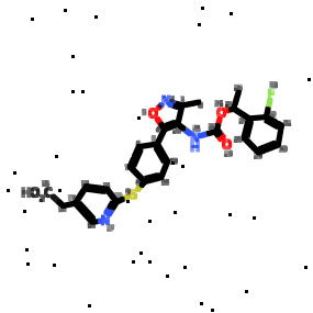 Cc1noc(-c2ccc(Sc3ccc(CC(=O)O)cn3)cc2)c1NC(=O)OC(C)c1ccccc1F